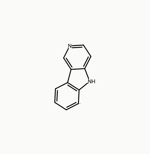 [c]1cccc2c1[nH]c1ccncc12